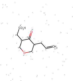 C=CCC1COCC(CC(=O)O)C1=O